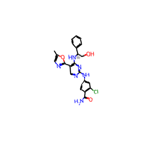 Cc1cnc(-c2cnc(Nc3ccc(C(N)=O)c(Cl)c3)nc2N[C@H](CO)c2ccccc2)o1